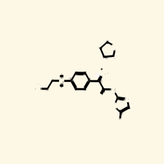 O=C(Nc1ncc(F)s1)/C(=N/O[C@@H]1CCOC1)c1ccc(S(=O)(=O)CCO)cc1